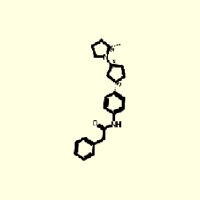 C[C@H]1CCCN1[C@H]1CC[C@H](c2ccc(NC(=O)Cc3ccccc3)cc2)C1